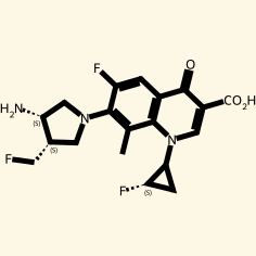 Cc1c(N2C[C@H](CF)[C@H](N)C2)c(F)cc2c(=O)c(C(=O)O)cn(C3C[C@@H]3F)c12